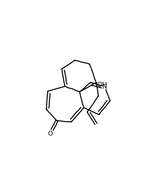 C=CCC1(O)CCC=C2C=CC(=O)C=C3C=CN=CC231